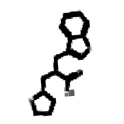 O=C(O)C(Cc1csc2ccccc12)CC1CCCO1